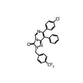 O=c1n(Cc2ccc(C(F)(F)F)cc2)nc2c(-c3ccccc3)c(-c3ccc(Cl)cc3)ncn12